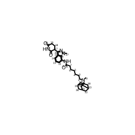 CN(CCCCCCC(=O)Nc1cccc2c(C3CCC(=O)NC3=O)nn(C)c12)C12CC3CC(CC(C3)C1)C2